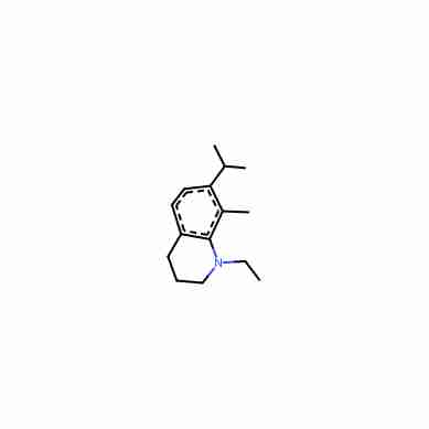 CCN1CCCc2ccc(C(C)C)c(C)c21